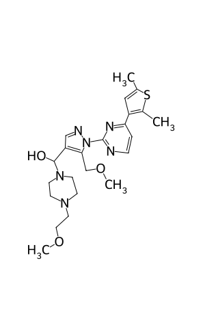 COCCN1CCN(C(O)c2cnn(-c3nccc(-c4cc(C)sc4C)n3)c2COC)CC1